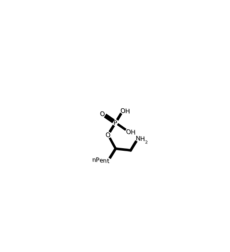 CCCCCC(CN)OP(=O)(O)O